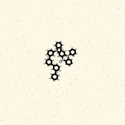 [O-][S+]1c2ccccc2N(c2ccccc2)c2cc3c4ccccc4n(-c4cccc(-c5cccc(-c6cccc(-c7ccccc7)c6)c5)c4)c3cc21